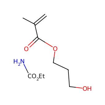 C=C(C)C(=O)OCCCO.CCOC(N)=O